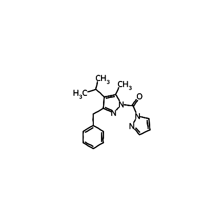 Cc1c(C(C)C)c(Cc2ccccc2)nn1C(=O)n1cccn1